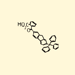 O=C(O)c1ccccc1C(=O)c1ccc2c(c1)Cc1cc(C(c3ccccc3)(c3ccccc3)c3ccccc3)ccc1-2